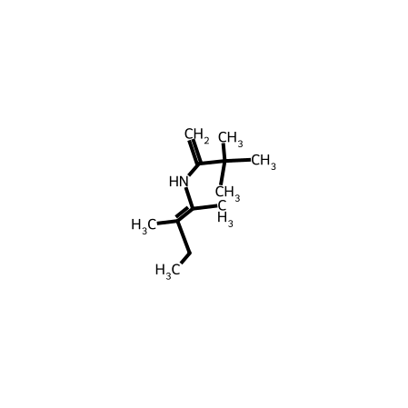 C=C(N/C(C)=C(\C)CC)C(C)(C)C